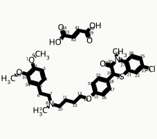 COc1ccc(CCN(C)CCCCOc2ccc(C3Sc4cc(Cl)ccc4N(C)C3=O)cc2)cc1OC.O=C(O)C=CC(=O)O